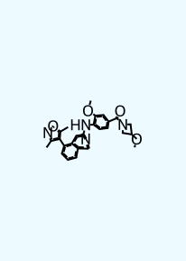 COc1cc(C(=O)N2CC(OC)C2)ccc1Nc1cc2c(-c3c(C)noc3C)cccc2cn1